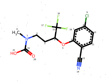 CN(CCC(Oc1cc(Cl)ccc1C#N)C(F)(F)F)C(=O)O